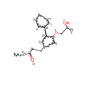 CCC(O)COc1ccc(CCC(=O)OC)cc1-c1ccccc1